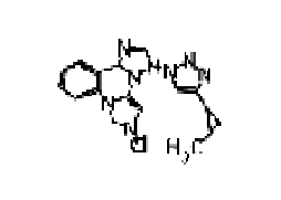 CC1CC1c1cn(N2C=NC3c4ccccc4N4CN(Cl)C=C4N32)nn1